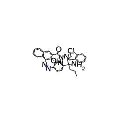 CCCC(N)(CCC)c1ccc(/N=N\c2c(O)c(C(=O)NN=Cc3ccccc3Cl)cc3ccccc23)cc1